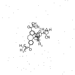 C[C@@H](CC1(c2nnc[nH]2)c2ccc(C(=O)N(C)C)cc2CCc2cc(C(=O)N(C)C)ccc21)NCC(=O)N1C(C#N)C[C@@H]2C[C@@H]21